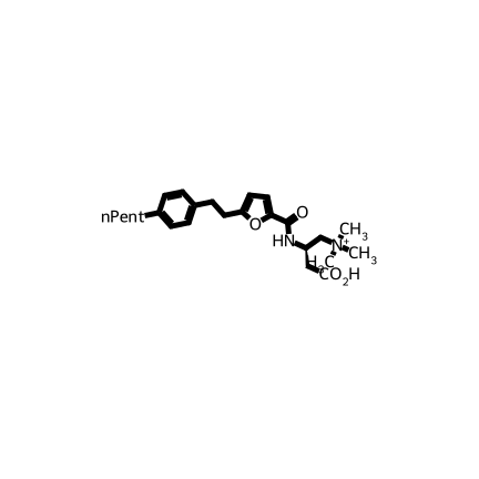 CCCCCc1ccc(CCc2ccc(C(=O)N[C@H](CC(=O)O)C[N+](C)(C)C)o2)cc1